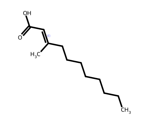 CCCCCCCC/C(C)=C/C(=O)O